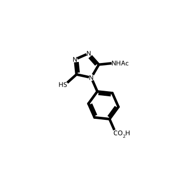 CC(=O)Nc1nnc(S)n1-c1ccc(C(=O)O)cc1